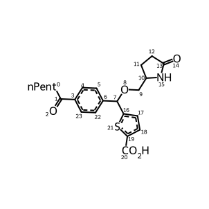 CCCCCC(=O)c1ccc(C(OCC2CCC(=O)N2)c2ccc(C(=O)O)s2)cc1